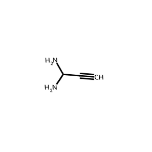 C#C[C](N)N